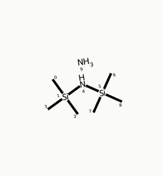 C[Si](C)(C)N[Si](C)(C)C.N